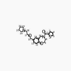 O=C(c1cccs1)N1CCOc2ccc(COCCN3CCCC3)cc2C1